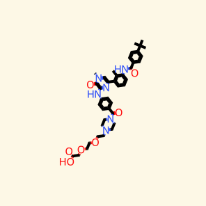 Cc1c(NC(=O)c2ccc(C(C)(C)C)cc2)cccc1-c1cn(C)c(=O)c(Nc2ccc(C(=O)N3CCN(CCOCCOCC(=O)O)CC3)cc2)n1